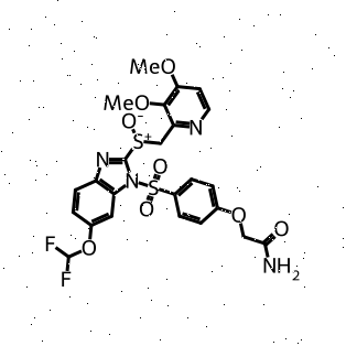 COc1ccnc(C[S+]([O-])c2nc3ccc(OC(F)F)cc3n2S(=O)(=O)c2ccc(OCC(N)=O)cc2)c1OC